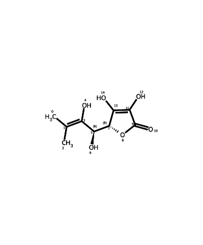 CC(C)=C(O)[C@H](O)[C@H]1OC(=O)C(O)=C1O